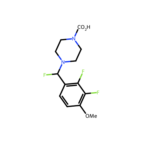 COc1ccc(C(F)N2CCN(C(=O)O)CC2)c(F)c1F